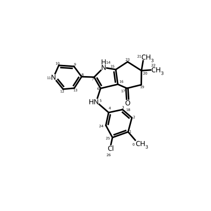 Cc1ccc(Nc2c(-c3ccncc3)[nH]c3c2C(=O)CC(C)(C)C3)cc1Cl